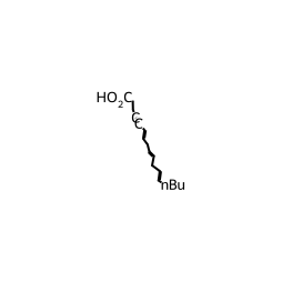 CCCCC=CCC=CCC=CCCCCC(=O)O